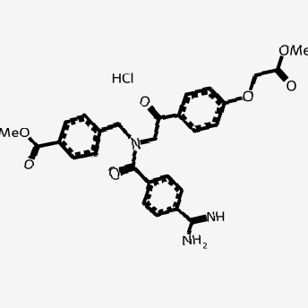 COC(=O)COc1ccc(C(=O)CN(Cc2ccc(C(=O)OC)cc2)C(=O)c2ccc(C(=N)N)cc2)cc1.Cl